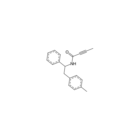 CC#CC(=O)NC(Cc1ccc(C)cc1)c1ccccc1